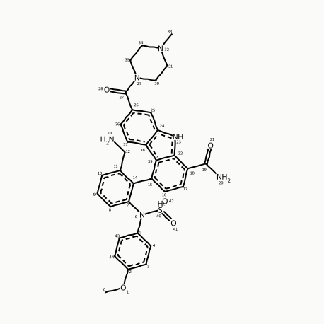 COc1ccc(N(c2cccc(CN)c2-c2ccc(C(N)=O)c3[nH]c4cc(C(=O)N5CCN(C)CC5)ccc4c23)[SH](=O)=O)cc1